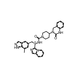 Cc1cc(C[C@@H](NC(=O)N2CCC(N3Cc4ccccc4NC3=O)CC2)c2ncc3ccccn23)cc2cn[nH]c12